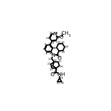 COc1cc(-c2cccc(N(CC34CCC(C(=O)NC5CC5)(CC3)C4)C(=O)C3CCCCC3)c2)ccn1